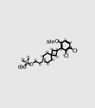 COc1ccc(Cl)c(Cl)c1C1CC2(CCN(CCO[Si](C)(C)C(C)(C)C)CC2)C1